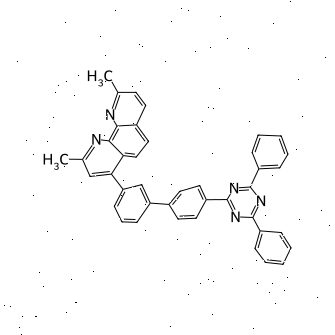 Cc1ccc2ccc3c(-c4cccc(-c5ccc(-c6nc(-c7ccccc7)nc(-c7ccccc7)n6)cc5)c4)cc(C)nc3c2n1